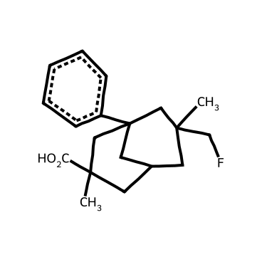 CC1(CF)CC2CC(C)(C(=O)O)CC(c3ccccc3)(C2)C1